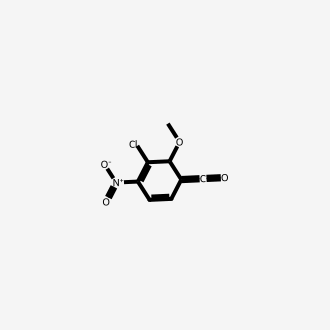 COC1C(=C=O)C=CC([N+](=O)[O-])=C1Cl